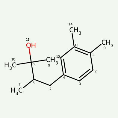 Cc1ccc(CC(C)C(C)(C)O)cc1C